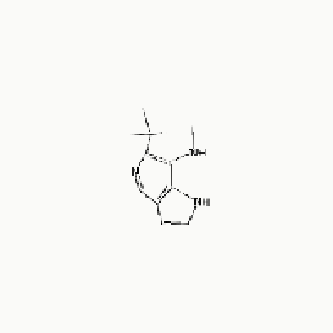 CNc1c(C(C)(C)C)ncc2c1NCC2